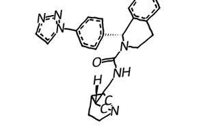 O=C(N[C@@H]1CN2CCC1CC2)N1CCc2ccccc2[C@H]1c1ccc(-n2ccnn2)cc1